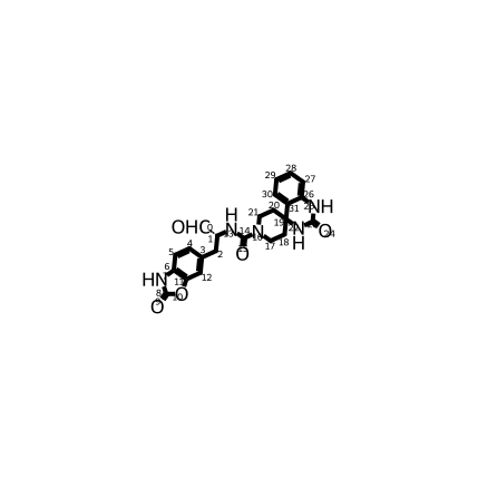 O=C[C@@H](Cc1ccc2[nH]c(=O)oc2c1)NC(=O)N1CCC2(CC1)NC(=O)Nc1ccccc12